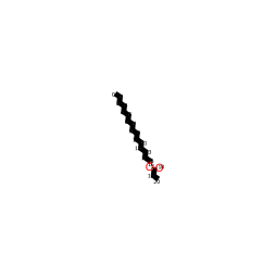 CCCCCCCCCCCCCCCCOC(=O)CC